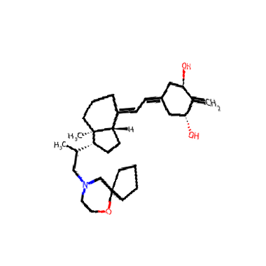 C=C1[C@H](O)CC(=C/C=C2\CCC[C@]3(C)[C@@H](C(C)CN4CCOC5(CCCC5)C4)CC[C@@H]23)C[C@H]1O